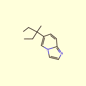 CCC(C)(CC)c1ccc2nccn2c1